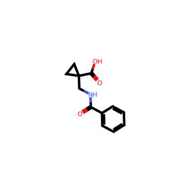 O=C(NCC1(C(=O)O)CC1)c1ccccc1